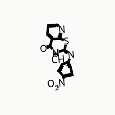 Cn1c(=Nc2ccc([N+](=O)[O-])cc2)sc2ncccc2c1=O